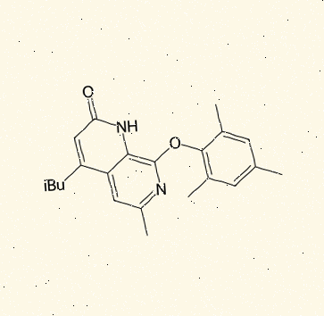 CCC(C)c1cc(=O)[nH]c2c(Oc3c(C)cc(C)cc3C)nc(C)cc12